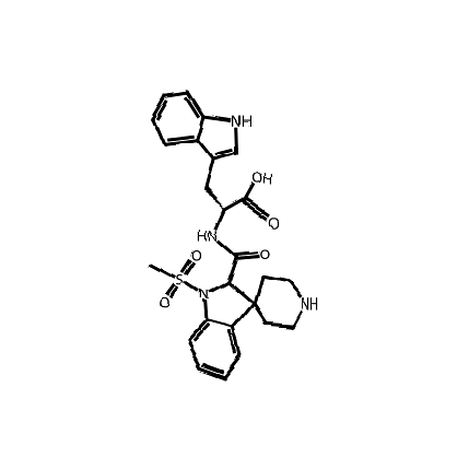 CS(=O)(=O)N1c2ccccc2C2(CCNCC2)C1C(=O)N[C@@H](Cc1c[nH]c2ccccc12)C(=O)O